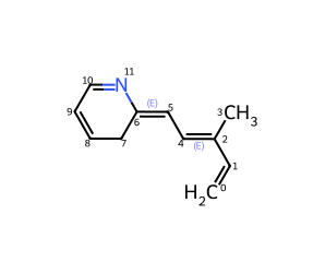 C=C/C(C)=C/C=C1\CC=CC=N1